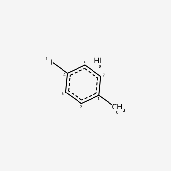 Cc1ccc(I)cc1.I